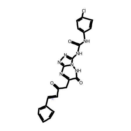 O=C(/C=C/c1ccccc1)Cc1nc2nnc(NC(=O)Nc3ccc(Cl)cc3)n2[nH]c1=O